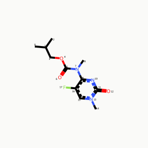 CC(C)COC(=O)N(C)c1nc(=O)n(C)cc1F